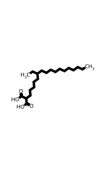 CCCCCCCCCCCC(CC)CCCCCC(C(=O)O)C(=O)O